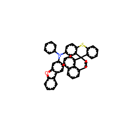 c1ccc(N(c2ccc3c(c2)C2(c4ccccc4S3)c3ccccc3-c3cccc4cccc2c34)c2ccc3c(c2)oc2ccccc23)cc1